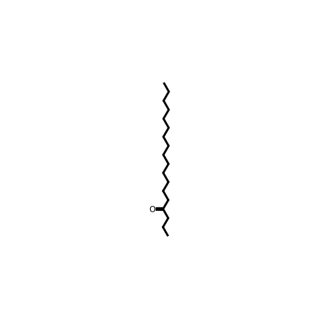 CCCCCCCCCCCCCCC(=O)CCC